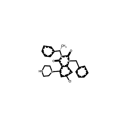 C[C@@H](c1ccccc1)n1c(=O)c2c(N3CCNCC3)cc(Cl)cc2n(Cc2ccccc2)c1=O